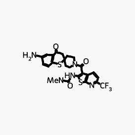 CNC(=O)Nc1sc2nc(C(F)(F)F)ccc2c1C(=O)N1CCC2(CC1)CC(=O)c1cc(N)ccc1S2